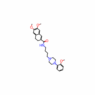 COc1cc2c(cc1OC)CCC(C(=O)NCCCCN1CCN(c3ccccc3OC)CC1)=C2